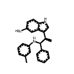 C=C(c1c[nH]c2ccc(CCCC)cc12)C(Nc1cccc(C)c1)c1ccccc1